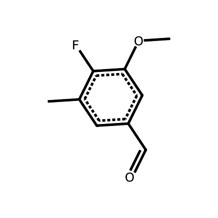 COc1cc(C=O)cc(C)c1F